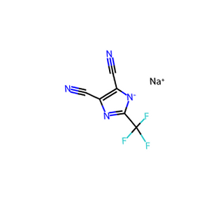 N#Cc1nc(C(F)(F)F)[n-]c1C#N.[Na+]